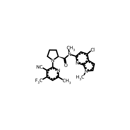 Cc1cc(C(F)(F)F)c(C#N)c(N2CCC[C@H]2C(=O)N(C)c2cc(Cl)c3ccn(C)c3n2)n1